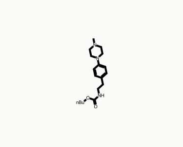 CCCCOC(=O)NCCc1ccc(N2CCN(C)CC2)cc1